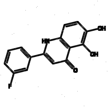 O=c1cc(-c2cccc(F)c2)[nH]c2ccc(O)c(O)c12